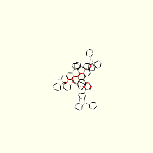 C=C(/C=C\C)B1c2ccc(C(C)(C)C)cc2N(c2c(-c3ccc4c5ccccc5n(-c5ccccc5)c4c3)cccc2-c2ccc3c4ccccc4n(-c4ccccc4)c3c2)c2cc(-c3ccc4oc5ccccc5c4c3)cc(N(C)c3c(-c4ccc5c6ccccc6n(-c6ccccc6)c5c4)cccc3-c3ccc4c5ccccc5n(-c5ccccc5)c4c3)c21